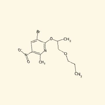 CCCOCC(C)Oc1nc(C)c([N+](=O)[O-])cc1Br